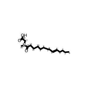 CCCCC=CCCCCCCCC(=O)N(C)CC(=O)O